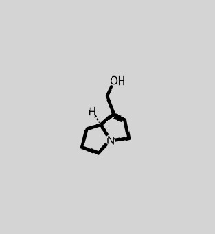 OCC1=CCN2CCC[C@@H]12